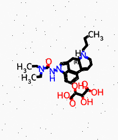 CCCCN1CCC=C2c3cccc4c3c(cn4NC(=O)N(CC)CC)C[C@H]21.O=C(O)C(O)C(O)C(=O)O